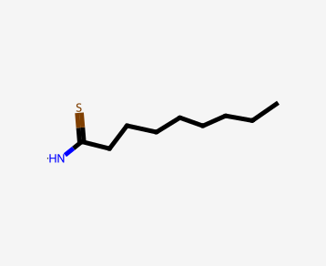 CCCCCCCCC([NH])=S